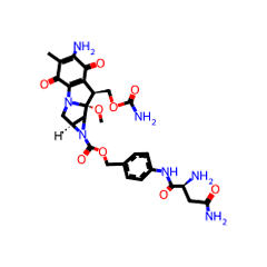 CO[C@]12C3[C@H](CN1C1=C(C(=O)C(N)=C(C)C1=O)[C@H]2COC(N)=O)N3C(=O)OCc1ccc(NC(=O)[C@@H](N)CC(N)=O)cc1